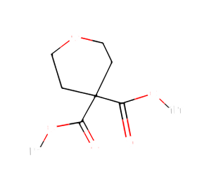 CC(C)OC(=O)C1(C(=O)OC(C)C)CCOCC1